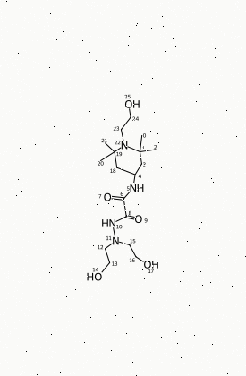 CC1(C)CC(NC(=O)C(=O)NN(CCO)CCO)CC(C)(C)N1CCO